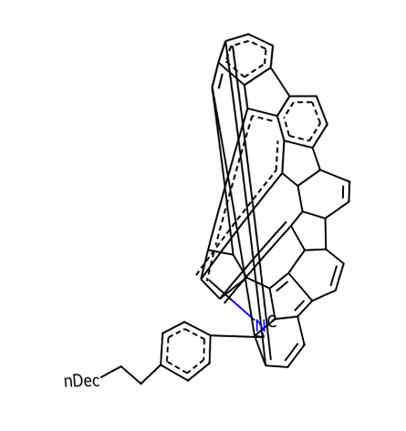 CCCCCCCCCCCCc1ccc(C2N(C)CC34C5=C6C=CC7C8C6=C3C3C6=C8C8C7C=CC7c9ccc%10c%11c%12c(c6c(c9%11)C78)C3C3=c6c-%12c-%10ccc6=C(C=C5)C324)cc1